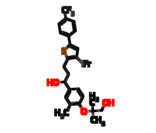 Cc1cc(C(O)CCc2sc(-c3ccc(C(F)(F)F)cc3)cc2C(C)C)ccc1OC(C)(C)CO